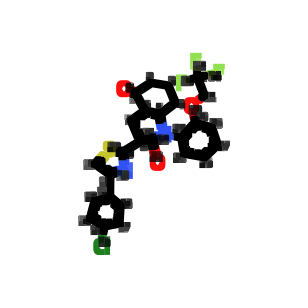 O=C1CCCc2c1cc(-c1nc(-c3ccc(Cl)cc3)cs1)c(=O)n2-c1ccccc1OCC(F)(F)F